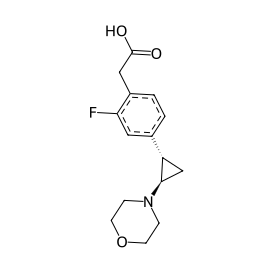 O=C(O)Cc1ccc([C@@H]2C[C@H]2N2CCOCC2)cc1F